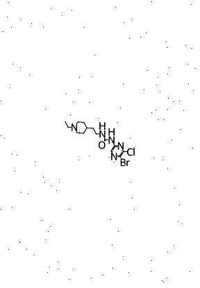 CCN1CCC(CCNC(=O)Nc2cnc(Br)c(Cl)n2)CC1